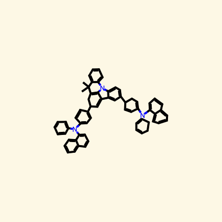 CC1(C)C2=c3c(c4cc(C5C=CC(N(C6=CC=CCC6)c6cccc7ccccc67)=CC5)ccc4n3-c3ccccc31)=CC(c1ccc(N(c3ccccc3)c3cccc4ccccc34)cc1)C2